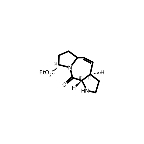 CCOC(=O)[C@@H]1CCC2C=C[C@H]3CCN[C@@H]3C(=O)N21